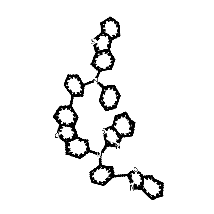 c1ccc(N(c2cccc(-c3ccc4oc5ccc(N(c6cccc(-c7nc8ccccc8o7)c6)c6nc7ccccc7s6)cc5c4c3)c2)c2ccc3c(c2)sc2ccccc23)cc1